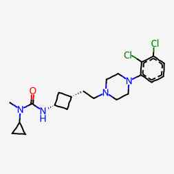 CN(C(=O)N[C@H]1C[C@@H](CCN2CCN(c3cccc(Cl)c3Cl)CC2)C1)C1CC1